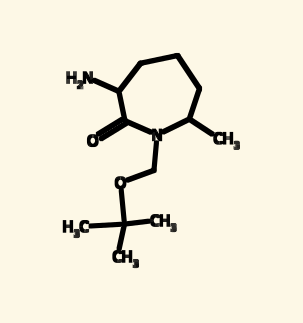 CC1CCCC(N)C(=O)N1COC(C)(C)C